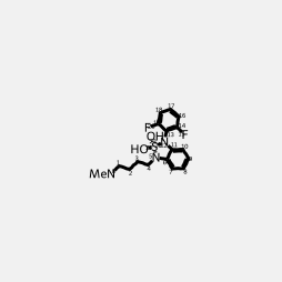 CNCCCCN1c2ccccc2N(c2c(F)cccc2F)S1(O)O